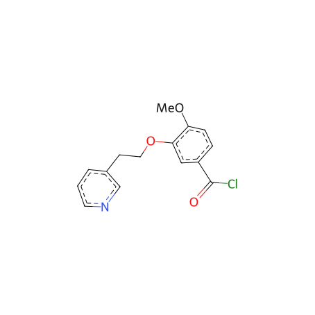 COc1ccc(C(=O)Cl)cc1OCCc1cccnc1